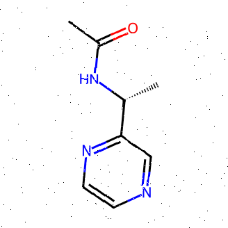 CC(=O)N[C@H](C)c1cnccn1